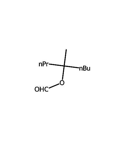 CCCCC(C)(CCC)OC=O